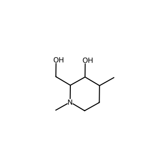 CC1CCN(C)C(CO)C1O